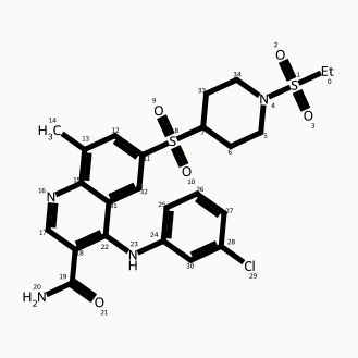 CCS(=O)(=O)N1CCC(S(=O)(=O)c2cc(C)c3ncc(C(N)=O)c(Nc4cccc(Cl)c4)c3c2)CC1